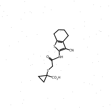 N#Cc1c(NC(=O)CSC2(C(=O)O)CC2)sc2c1CCCC2